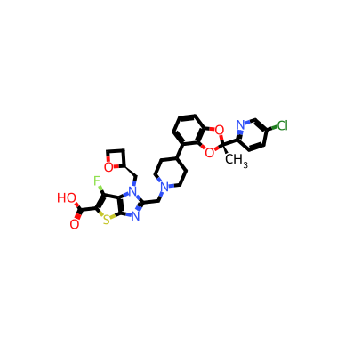 C[C@]1(c2ccc(Cl)cn2)Oc2cccc(C3CCN(Cc4nc5sc(C(=O)O)c(F)c5n4C[C@@H]4CCO4)CC3)c2O1